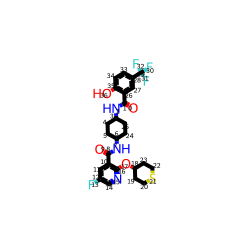 O=C(NC1CCC(NC(=O)c2cc(F)cnc2OC2CCSCC2)CC1)c1cc(C(F)(F)F)ccc1O